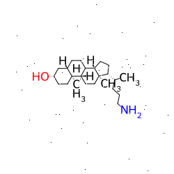 CC(CCCN)[C@H]1CC[C@H]2[C@@H]3CC[C@H]4C[C@@H](O)CC[C@]4(C)[C@H]3CC[C@]12C